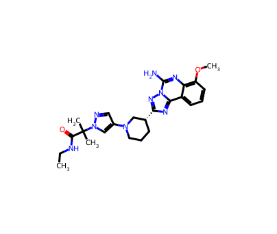 CCNC(=O)C(C)(C)n1cc(N2CCC[C@@H](c3nc4c5cccc(OC)c5nc(N)n4n3)C2)cn1